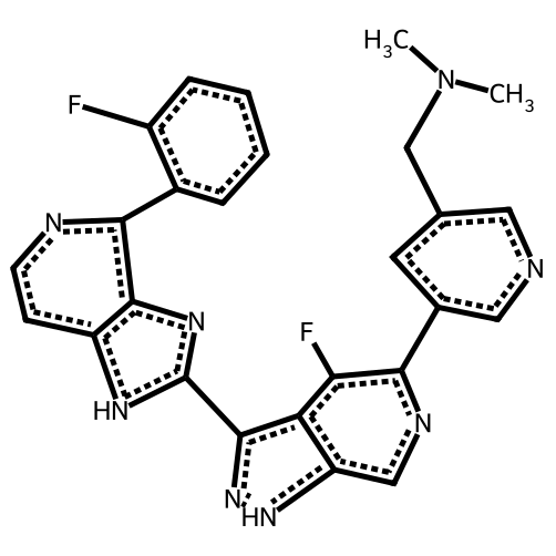 CN(C)Cc1cncc(-c2ncc3[nH]nc(-c4nc5c(-c6ccccc6F)nccc5[nH]4)c3c2F)c1